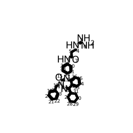 N=C(N)NCCC(=O)Nc1ccc(N2C(=O)N(Cc3ccccc3)N=C(C3CCCCC3)c3ccccc32)cc1